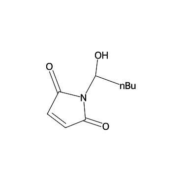 CCCCC(O)N1C(=O)C=CC1=O